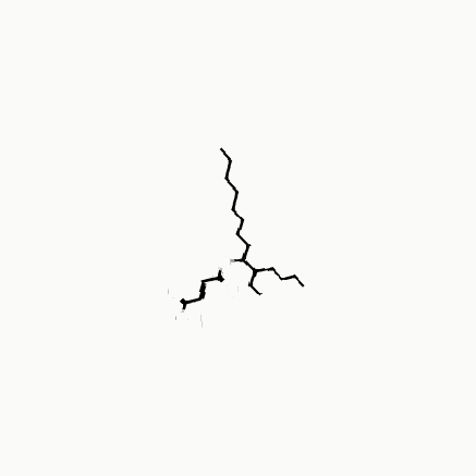 CCCCCCCCC(OC(=O)C=CC(=O)O)C(CC)CCCC